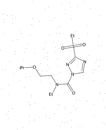 CCN(CCOC(C)C)C(=O)n1cnc(S(=O)(=O)CC)n1